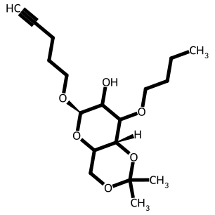 C#CCCCO[C@@H]1OC2COC(C)(C)O[C@H]2C(OCCCC)C1O